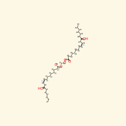 CCCCCC[C@@H](O)C/C=C\CCCCCCCC(=O)OCOOC(=O)CCCCCCC/C=C\C[C@H](O)CCCCCC